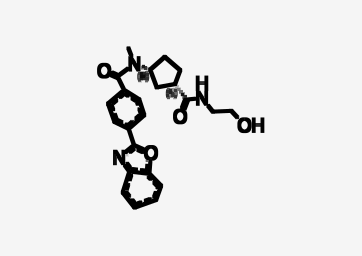 CN(C(=O)c1ccc(-c2nc3ccccc3o2)cc1)[C@@H]1CC[C@H](C(=O)NCCO)C1